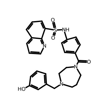 O=C(c1ccc(NS(=O)(=O)c2cccc3cccnc23)cc1)N1CCCN(Cc2cccc(O)c2)CC1